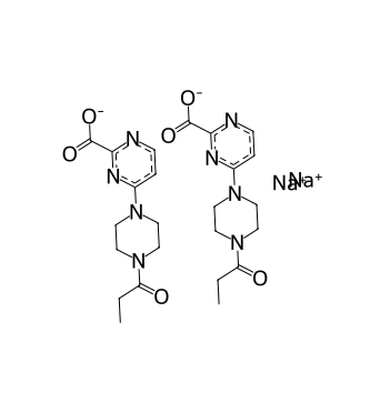 CCC(=O)N1CCN(c2ccnc(C(=O)[O-])n2)CC1.CCC(=O)N1CCN(c2ccnc(C(=O)[O-])n2)CC1.[Na+].[Na+]